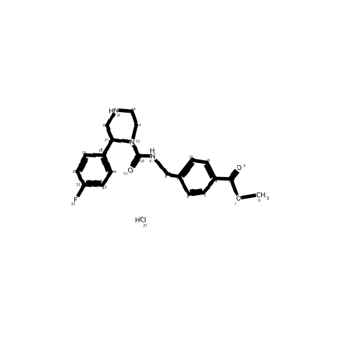 COC(=O)c1ccc(CNC(=O)N2CCNCC2c2ccc(F)cc2)cc1.Cl